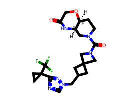 O=C1CO[C@H]2CCN(C(=O)N3CC4(CC(Cn5cnc(C6(C(F)(F)F)CC6)n5)C4)C3)C[C@H]2N1